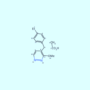 CC(=O)O.CCc1ccc(Cc2ccnnc2OC)cc1